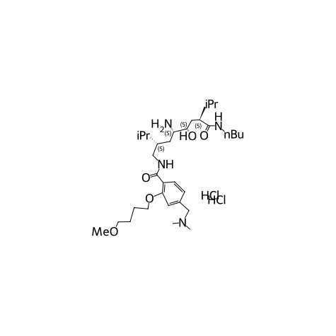 CCCCNC(=O)[C@@H](C[C@H](O)[C@@H](N)C[C@H](CNC(=O)c1ccc(CN(C)C)cc1OCCCCOC)C(C)C)C(C)C.Cl.Cl